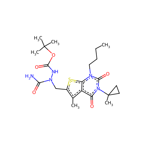 CCCCn1c(=O)n(C2(C)CC2)c(=O)c2c(C)c(CN(NC(=O)OC(C)(C)C)C(N)=O)sc21